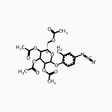 CC(=O)OC[C@@H]1OC(Oc2ccc(N=[N+]=[N-])cc2C)C(OC(C)=O)C(OC(C)=O)C1OC(C)=O